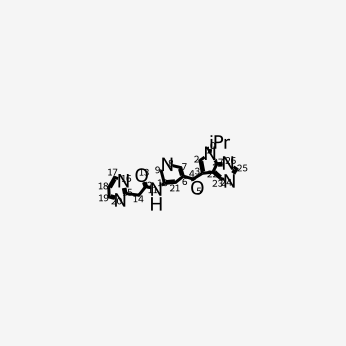 CC(C)n1cc(C(=O)c2cncc(NC(=O)Cc3ncccn3)c2)c2cncnc21